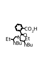 CCCCC(CC)CN(CC(CC)CCCC)C(=O)c1ccccc1C(=O)O